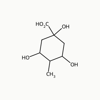 CC1C(O)CC(O)(C(=O)O)CC1O